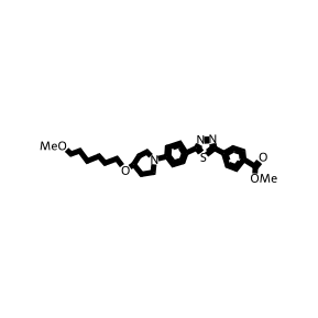 COCCCCCCOC1CCN(c2ccc(-c3nnc(-c4ccc(C(=O)OC)cc4)s3)cc2)CC1